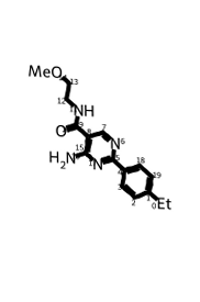 CCc1ccc(-c2ncc(C(=O)NCCOC)c(N)n2)cc1